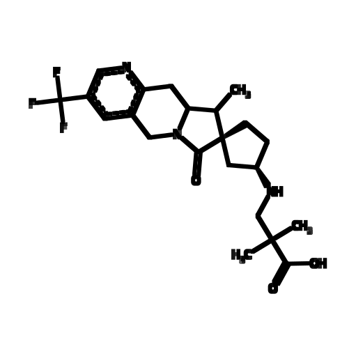 CC1C2Cc3ncc(C(F)(F)F)cc3CN2C(=O)[C@]12CC[C@@H](NCC(C)(C)C(=O)O)C2